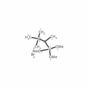 CO[Si](OC)(OC)C(C)[N+](C)(C)C.[Br-]